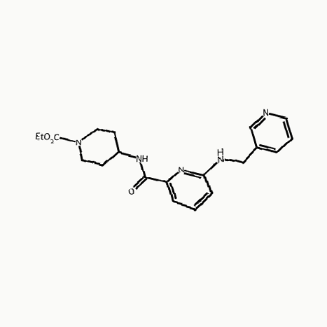 CCOC(=O)N1CCC(NC(=O)c2cccc(NCc3cccnc3)n2)CC1